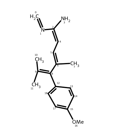 C=N/C(N)=C\C=C(/C)C(=C(C)C)c1ccc(OC)cc1